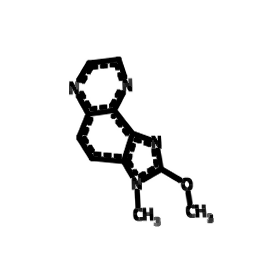 COc1nc2c3nccnc3ccc2n1C